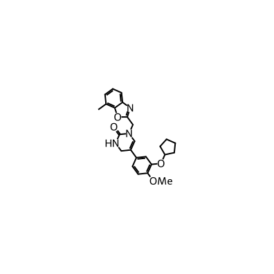 COc1ccc(C2=CN(Cc3nc4cccc(C)c4o3)C(=O)NC2)cc1OC1CCCC1